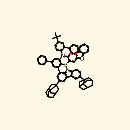 CC(C)(C)c1ccc(N2c3cc4c(cc3B3c5c(cc(-c6ccccc6)cc52)-c2cc(C56CC7CC(CC(C7)C5)C6)cc5c6cc(C78CC9CC(CC(C9)C7)C8)ccc6n3c25)oc2ccccc24)c(-c2ccccc2)c1